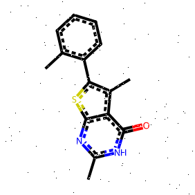 Cc1nc2sc(-c3ccccc3C)c(C)c2c(=O)[nH]1